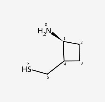 N[C@H]1CCC1CS